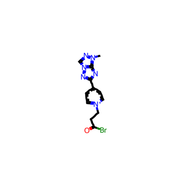 Cn1ncn2nc(-c3cc[n+](CCC(=O)Br)cc3)nc12